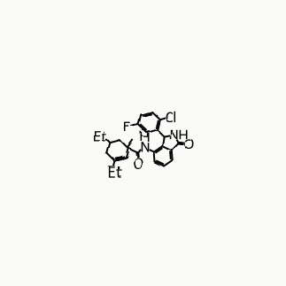 CCC1=CC(C)(C(=O)Nc2cccc3c2C(c2cc(F)ccc2Cl)NC3=O)CC(CC)C1